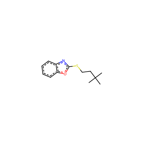 CC(C)(C)CCSc1nc2ccccc2o1